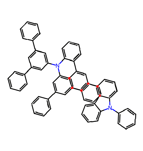 c1ccc(-c2cc(-c3ccccc3)cc(N(c3cc(-c4ccccc4)cc(-c4ccccc4)c3)c3ccccc3-c3cccc(-c4cccc5c4c4ccccc4n5-c4ccccc4)c3)c2)cc1